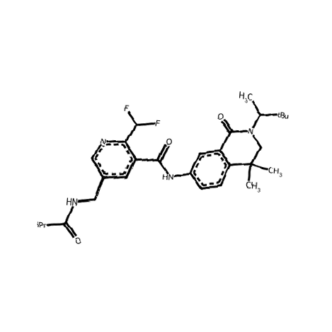 CC(C)C(=O)NCc1cnc(C(F)F)c(C(=O)Nc2ccc3c(c2)C(=O)N(C(C)C(C)(C)C)CC3(C)C)c1